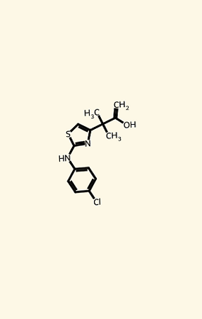 C=C(O)C(C)(C)c1csc(Nc2ccc(Cl)cc2)n1